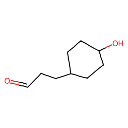 O=CCCC1CCC(O)CC1